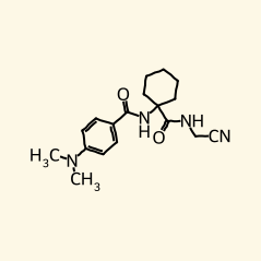 CN(C)c1ccc(C(=O)NC2(C(=O)NCC#N)CCCCC2)cc1